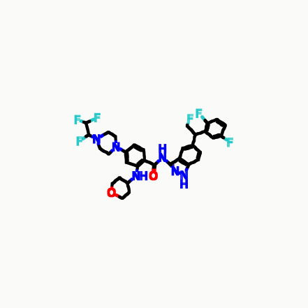 O=C(Nc1n[nH]c2ccc(C(CF)c3cc(F)ccc3F)cc12)c1ccc(N2CCN(C(F)C(F)F)CC2)cc1NC1CCOCC1